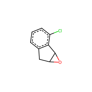 Clc1cccc2c1C1OC1C2